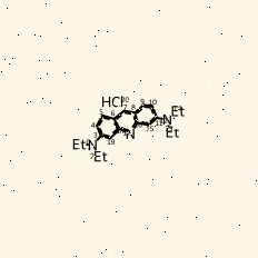 CCN(CC)c1ccc2cc3ccc(N(CC)CC)cc3nc2c1.Cl